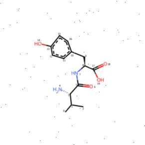 CC(C)[C@H](N)C(=O)N[C@@H](Cc1ccc(O)cc1)C(=O)O